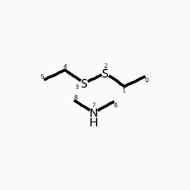 CCSSCC.CNC